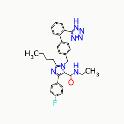 CCCCc1nc(-c2ccc(F)cc2)c(C(=O)NCC)n1Cc1ccc(-c2ccccc2-c2nnn[nH]2)cc1